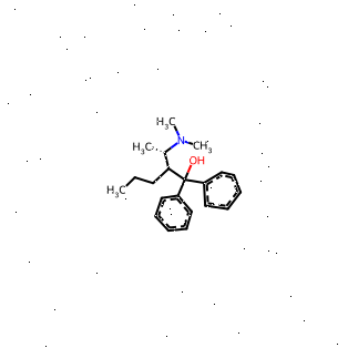 CCCC([C@H](C)N(C)C)C(O)(c1ccccc1)c1ccccc1